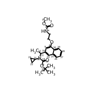 COC(=O)NCCOc1cc(C(C)N(C(=O)OC(C)(C)C)C2CC2)cc2ccccc12